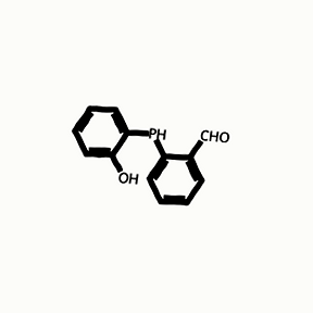 O=Cc1ccccc1Pc1ccccc1O